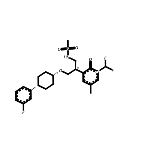 Cc1cc([C@H](CNS(C)(=O)=O)CO[C@H]2CC[C@@H](c3cccc(F)c3)CC2)c(=O)n(C(F)F)c1